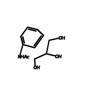 CC(=O)Nc1ccccc1.OCC(O)CO